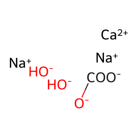 O=C([O-])[O-].[Ca+2].[Na+].[Na+].[OH-].[OH-]